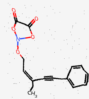 C/C(C#Cc1ccccc1)=C/COn1oc(=O)c(=O)o1